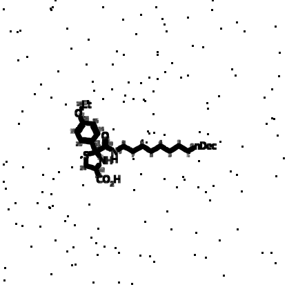 CCCCCCCCCCCCCCCCCCNC(=O)C1(c2ccc(OCC)cc2)NC(C(=O)O)CS1